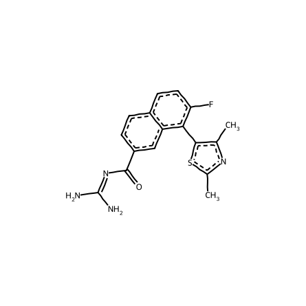 Cc1nc(C)c(-c2c(F)ccc3ccc(C(=O)N=C(N)N)cc23)s1